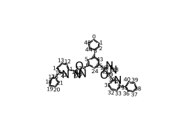 c1ccc(-c2cc(-c3nnc(-c4cccc(-c5ccccc5)n4)o3)cc(-c3nnc(-c4cccc(-c5ccccc5)n4)o3)c2)cc1